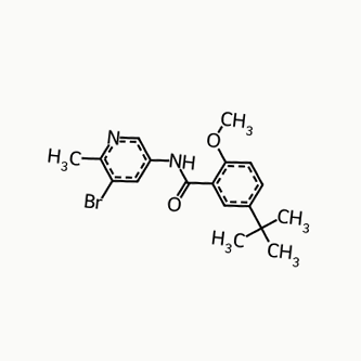 COc1ccc(C(C)(C)C)cc1C(=O)Nc1cnc(C)c(Br)c1